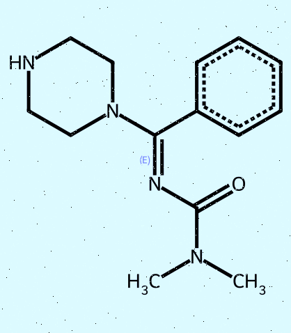 CN(C)C(=O)/N=C(\c1ccccc1)N1CCNCC1